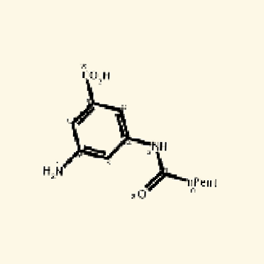 CCCCCC(=O)Nc1cc(N)cc(C(=O)O)c1